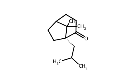 CC(C)C[C@@]12CCC(CCC1=O)C2(C)C